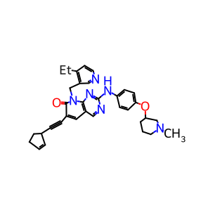 CCc1ccncc1Cn1c(=O)c(C#CC2C=CCC2)cc2cnc(Nc3ccc(OC4CCCN(C)C4)cc3)nc21